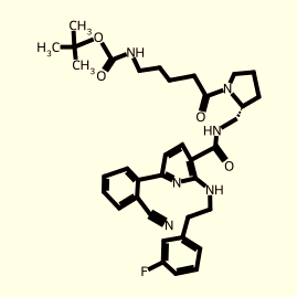 CC(C)(C)OC(=O)NCCCCC(=O)N1CCC[C@@H]1CNC(=O)c1ccc(-c2ccccc2C#N)nc1NCCc1cccc(F)c1